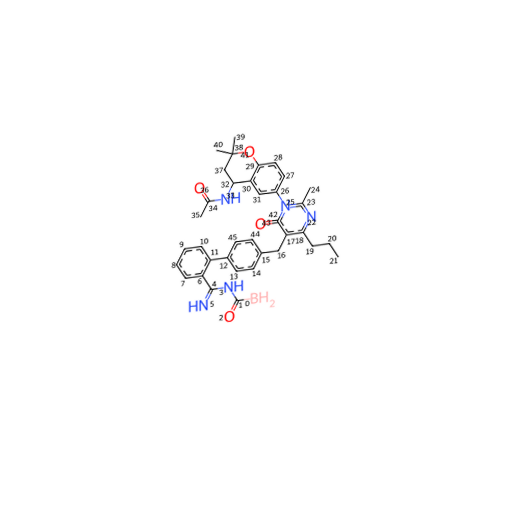 BC(=O)NC(=N)c1ccccc1-c1ccc(Cc2c(CCC)nc(C)n(-c3ccc4c(c3)C(NC(C)=O)CC(C)(C)O4)c2=O)cc1